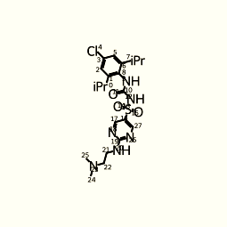 CC(C)c1cc(Cl)cc(C(C)C)c1NC(=O)NS(=O)(=O)c1cnc(NCCN(C)C)nc1